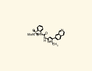 CNS(=O)(=O)c1ccccc1NC(=O)Nc1cc(-c2ccc3ccncc3c2)n(C)n1